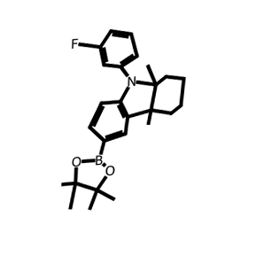 CC1(C)OB(c2ccc3c(c2)C2(C)CCCCC2(C)N3c2cccc(F)c2)OC1(C)C